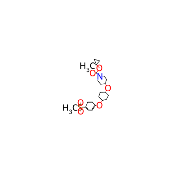 CC1(OC(=O)N2CCC(O[C@H]3CC[C@H](Oc4ccc(S(C)(=O)=O)cc4)CC3)CC2)CC1